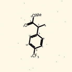 COC(=O)C(C)c1ccc(C(F)(F)F)cc1